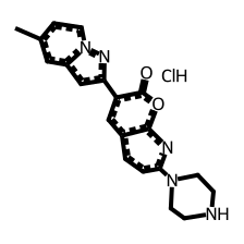 Cc1ccn2nc(-c3cc4ccc(N5CCNCC5)nc4oc3=O)cc2c1.Cl